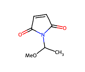 COC(C)N1C(=O)C=CC1=O